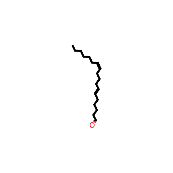 CCCCCC/C=C\CCC/C=C/CCCCC=O